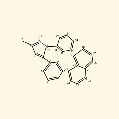 Cc1cc(-c2ccccc2)n(-c2ccccc2)n1.c1ccc2ncccc2c1